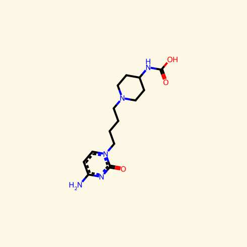 Nc1ccn(CCCCN2CCC(NC(=O)O)CC2)c(=O)n1